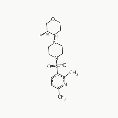 Cc1nc(C(F)(F)F)ccc1S(=O)(=O)N1CCN([C@@H]2CCOC[C@@H]2F)CC1